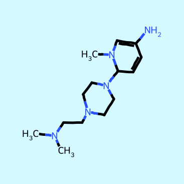 CN(C)CCN1CCN(C2C=CC(N)=CN2C)CC1